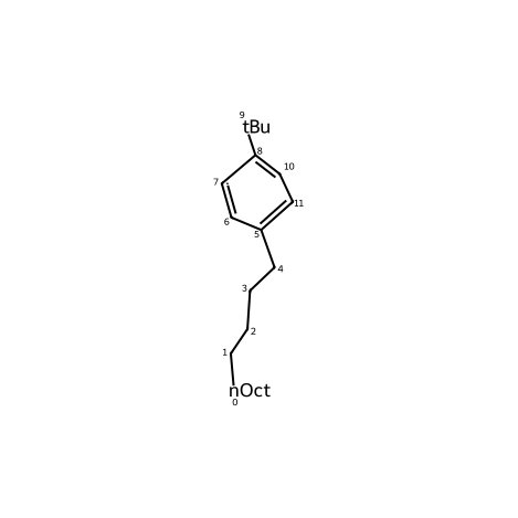 CCCCCCCCCCCCc1c[c]c(C(C)(C)C)cc1